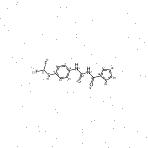 O=C(NC(=S)Nc1ccc(SC(F)F)cc1)c1cccs1